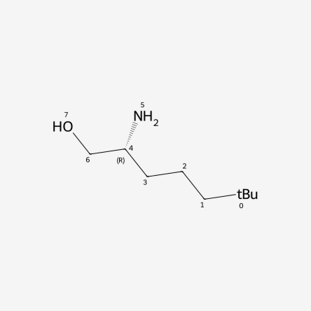 CC(C)(C)CCC[C@@H](N)CO